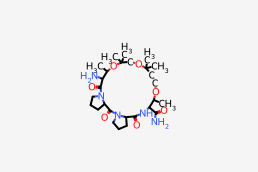 CC1OC(C)(C)COC(C)(C)CCOC(C)C(C(N)=O)NC(=O)C2CCCN2C(=O)C2CCCN2C(=O)C1N